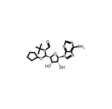 CC(C)(C)N(C=O)C(OC1CCCC1)[C@H]1O[C@@H](n2cnc3c(N)ncnc32)[C@H](O)[C@@H]1O